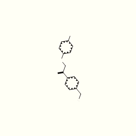 NCc1ccc(C(=O)COc2ccc(Cl)cc2)cc1